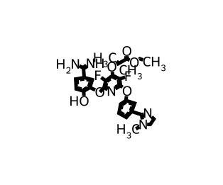 CCOC(=O)C(C)(C)Oc1c(F)c(Oc2cccc(C3=NCCN3C)c2)nc(Oc2cc(C(=N)N)ccc2O)c1F